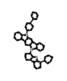 c1ccc(-c2ccc(-n3c4ccccc4c4cc5c(cc43)c3ccccc3n5-c3cccc4c3sc3c(-c5ccccc5)cccc34)cc2)cc1